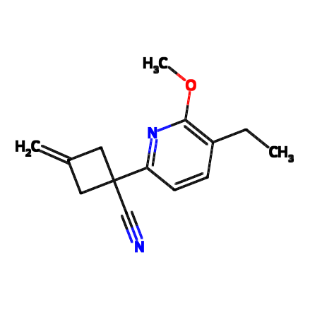 C=C1CC(C#N)(c2ccc(CC)c(OC)n2)C1